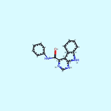 O=C(Nc1ccccc1)c1ncnc2[nH]c3ccccc3c12